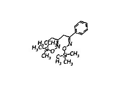 CCC(CC(=NO[Si](C)(C)C)c1ccccc1)=NO[Si](C)(C)C